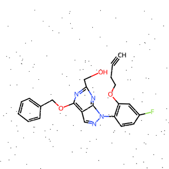 C#CCCOc1cc(F)ccc1-n1ncc2c(OCc3ccccc3)nc(CO)nc21